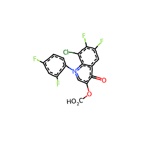 O=C(O)Oc1cn(-c2ccc(F)cc2F)c2c(Cl)c(F)c(F)cc2c1=O